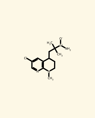 CN1CCC(CC(C)(C)[S+](N)[O-])c2cc(Cl)cnc21